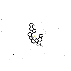 Cc1c2ccc3ccccc3c2c2sc3c4c5c(ccc4cc4ccc1c2c43)-c1cc2ccccc2c2cccc-5c12